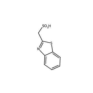 O=S(=O)(O)Cc1nc2ccccc2s1